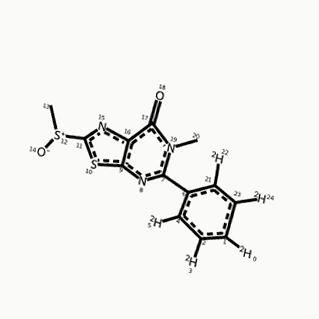 [2H]c1c([2H])c([2H])c(-c2nc3sc([S+](C)[O-])nc3c(=O)n2C)c([2H])c1[2H]